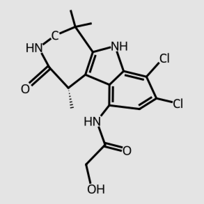 C[C@@H]1C(=O)NCC(C)(C)c2[nH]c3c(Cl)c(Cl)cc(NC(=O)CO)c3c21